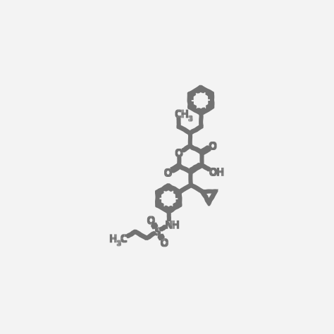 CCCS(=O)(=O)Nc1cccc(C(C2=C(O)C(=O)C(C(CC)Cc3ccccc3)OC2=O)C2CC2)c1